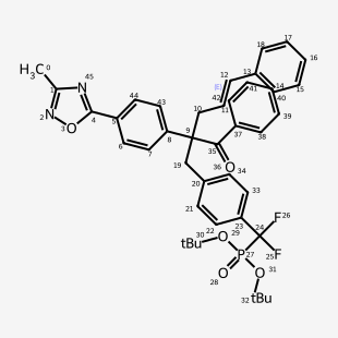 Cc1noc(-c2ccc(C(C/C=C/c3ccccc3)(Cc3ccc(C(F)(F)P(=O)(OC(C)(C)C)OC(C)(C)C)cc3)C(=O)c3ccccc3)cc2)n1